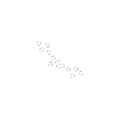 CC(C)(C)C1(C(C)(C)C)c2c(ccc3cc(-c4ccc(N(c5ccccc5)c5cccc6c5sc5ccccc56)cc4)ccc23)-c2c1c1ccc(-c3ccc(N(c4ccccc4)c4cccc5c4sc4ccccc45)cc3)cc1c1ccccc21